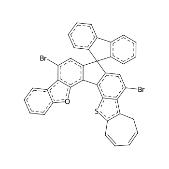 Brc1cc2c(c3sc4c(c13)CC=CC=C4)-c1c(cc(Br)c3c1oc1ccccc13)C21c2ccccc2-c2ccccc21